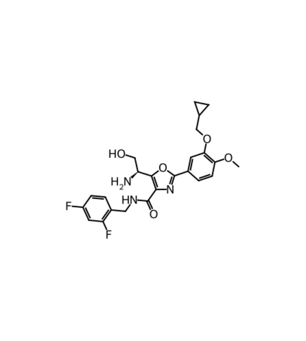 COc1ccc(-c2nc(C(=O)NCc3ccc(F)cc3F)c([C@@H](N)CO)o2)cc1OCC1CC1